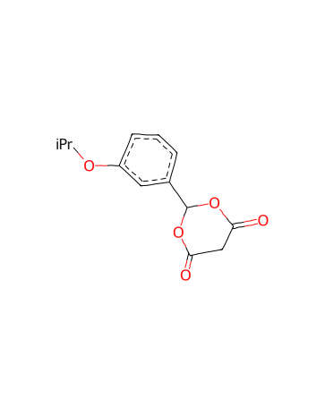 CC(C)Oc1cccc(C2OC(=O)CC(=O)O2)c1